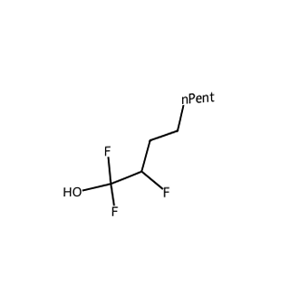 CCCCCCCC(F)C(O)(F)F